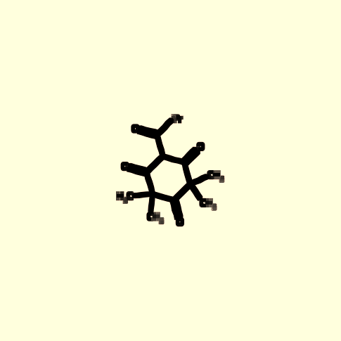 CC(C)C(=O)C1C(=O)C(C)(C)C(=O)C(C)(C)C1=O